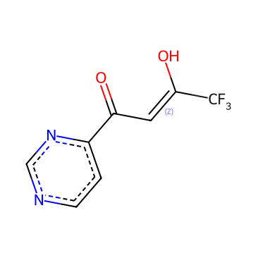 O=C(/C=C(\O)C(F)(F)F)c1ccncn1